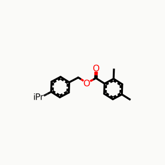 Cc1ccc(C(=O)OCc2ccc(C(C)C)cc2)c(C)c1